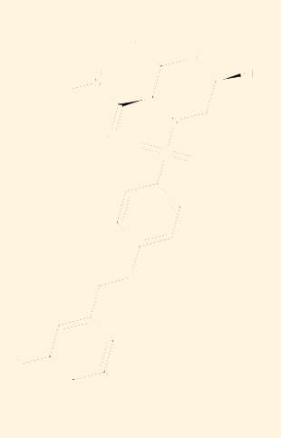 CC1O[C@@H](C)CN(S(=O)(=O)c2ccc(OCc3cc(F)cc(F)c3)cc2)[C@H]1C(=O)NO